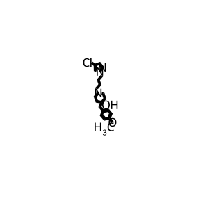 COc1ccc(CC2(O)CCN(CCCCn3cc(Cl)cn3)CC2)cc1